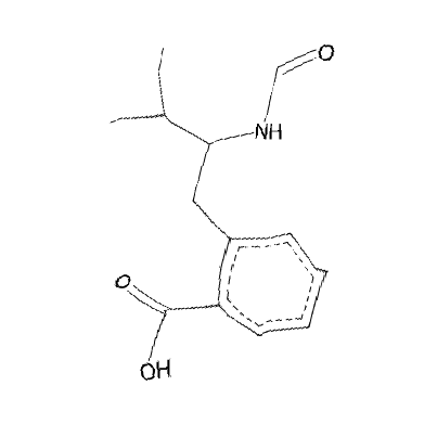 CC(C)C(Cc1ccccc1C(=O)O)NC=O